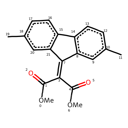 COC(=O)C(C(=O)OC)=C1c2cc(C)ccc2-c2ccc(C)cc21